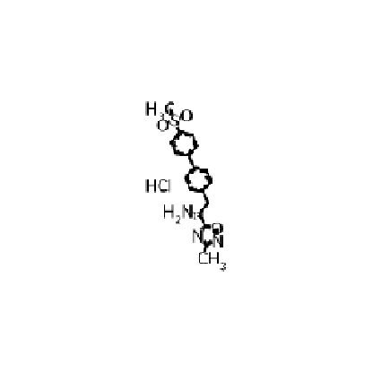 Cc1noc([C@H](N)Cc2ccc(-c3ccc(S(C)(=O)=O)cc3)cc2)n1.Cl